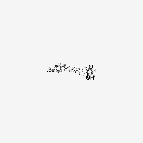 Cc1c(C)n(O)c(CCCCCCCCCCc2ccc(C(C)(C)C)cc2)c(C)c1=O